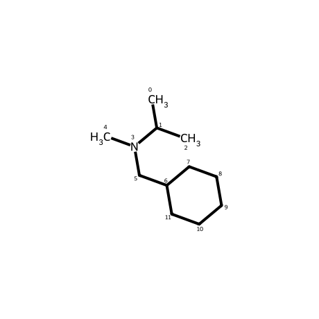 CC(C)N(C)CC1CCCCC1